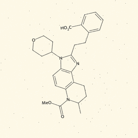 COC(=O)N1c2ccc3c(nc(CCc4ccccc4C(=O)O)n3C3CCOCC3)c2CCC1C